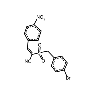 N#C/C(=C/c1ccc([N+](=O)[O-])cc1)S(=O)(=O)Cc1ccc(Br)cc1